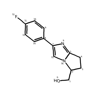 OCC1CCc2nc(-c3ccc(F)cc3)cn21